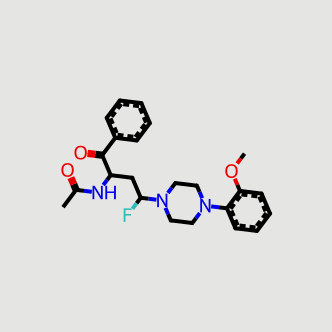 COc1ccccc1N1CCN(C(F)CC(NC(C)=O)C(=O)c2ccccc2)CC1